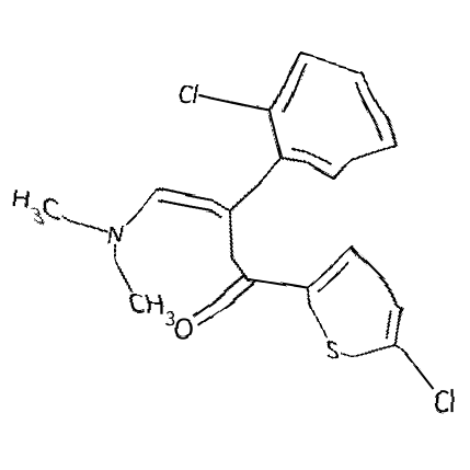 CN(C)C=C(C(=O)c1ccc(Cl)s1)c1ccccc1Cl